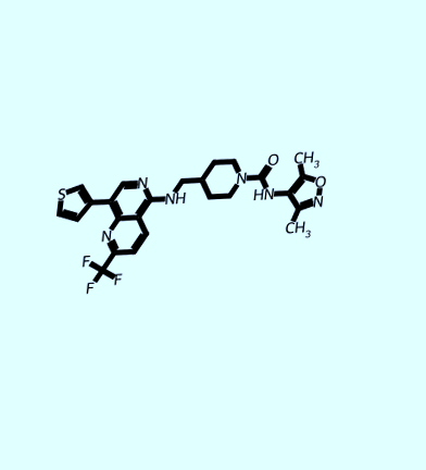 Cc1noc(C)c1NC(=O)N1CCC(CNc2ncc(-c3ccsc3)c3nc(C(F)(F)F)ccc23)CC1